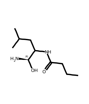 CCCC(=O)NC(CC(C)C)[C@H](N)O